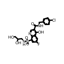 O=C(NCc1ccc(Cl)cc1)c1cnc2c(S(=O)(=O)NCC(O)CO)cc(F)cc2c1O